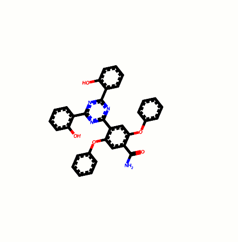 NC(=O)c1cc(Oc2ccccc2)c(-c2nc(-c3ccccc3O)nc(-c3ccccc3O)n2)cc1Oc1ccccc1